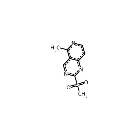 Cc1nccc2nc(S(C)(=O)=O)ncc12